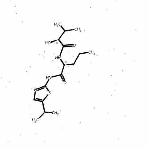 CCC[C@H](NC(=O)[C@@H](O)C(C)C)C(=O)Nc1ncc(C(C)C)s1